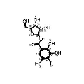 O=C(OC1O[C@@H](CO)[C@H](O)[C@@H]1O)c1cc(O)c(F)c(O)c1O